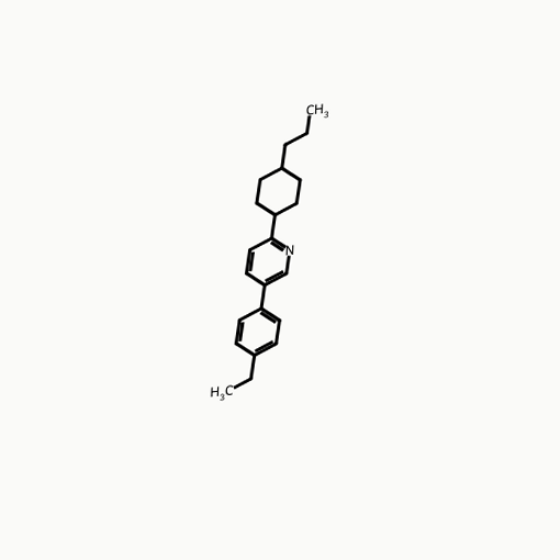 CCCC1CCC(c2ccc(-c3ccc(CC)cc3)cn2)CC1